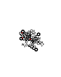 CCCCCC(Cc1ccccc1)C(=O)NCCC(=O)C(CC(=O)C([C]=O)CNC(=O)[C@H](Cc1ccccc1)NC(=O)OC(C)C)(NC(=O)[C@H](Cc1ccccc1)NC(=O)OC(C)(C)C)C(=O)CCNC(=O)[C@H](Cc1ccccc1)NC(=O)CN1CCOCC1